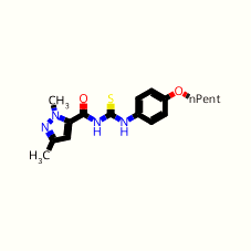 CCCCCOc1ccc(NC(=S)NC(=O)c2cc(C)nn2C)cc1